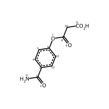 NC(=O)c1ccc(OC(=O)CC(=O)O)cc1